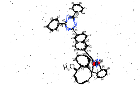 C=C1/C=C\C=C/CC2(c3ccccc31)c1ccccc1-c1cnc(-c3ccc4cc(-c5nc(-c6ccccc6)nc(-c6ccccc6)n5)ccc4c3)nc12